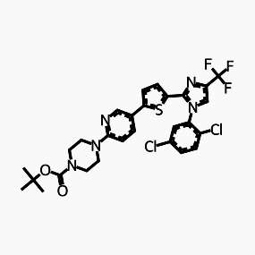 CC(C)(C)OC(=O)N1CCN(c2ccc(-c3ccc(-c4nc(C(F)(F)F)cn4-c4cc(Cl)ccc4Cl)s3)cn2)CC1